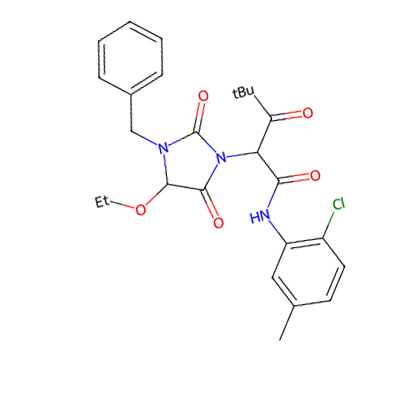 CCOC1C(=O)N(C(C(=O)Nc2cc(C)ccc2Cl)C(=O)C(C)(C)C)C(=O)N1Cc1ccccc1